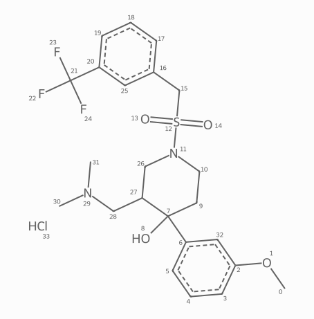 COc1cccc(C2(O)CCN(S(=O)(=O)Cc3cccc(C(F)(F)F)c3)CC2CN(C)C)c1.Cl